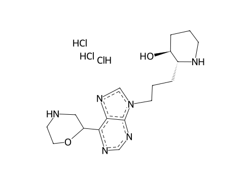 Cl.Cl.Cl.O[C@H]1CCCN[C@@H]1CCCn1cnc2c(C3CNCCO3)ncnc21